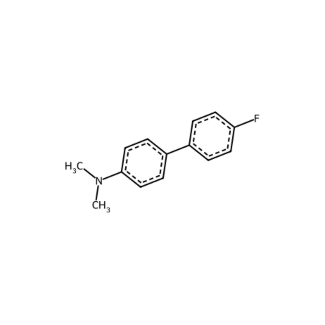 CN(C)c1ccc(-c2ccc(F)cc2)cc1